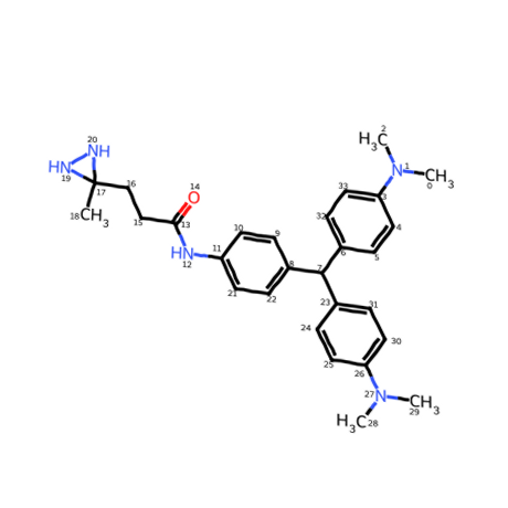 CN(C)c1ccc(C(c2ccc(NC(=O)CCC3(C)NN3)cc2)c2ccc(N(C)C)cc2)cc1